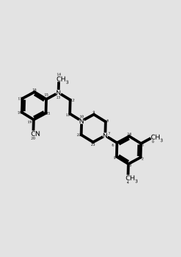 Cc1cc(C)cc(N2CCN(CCN(C)c3cccc(C#N)c3)CC2)c1